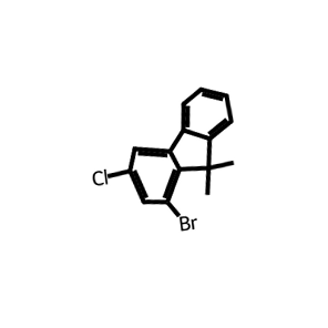 CC1(C)c2ccccc2-c2cc(Cl)cc(Br)c21